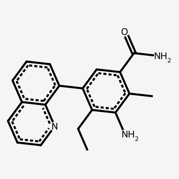 CCc1c(-c2cccc3cccnc23)cc(C(N)=O)c(C)c1N